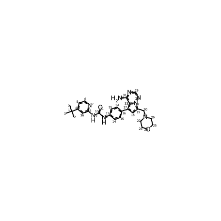 CC(C)(C)c1ccnc(NC(=O)Nc2ccc(-c3cc(CN4CCOCC4)n4ncnc(N)c34)cc2)c1